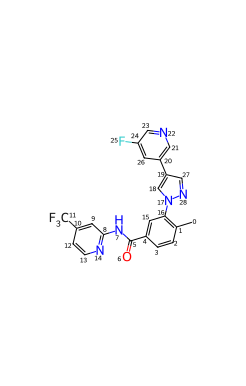 Cc1ccc(C(=O)Nc2cc(C(F)(F)F)ccn2)cc1-n1cc(-c2cncc(F)c2)cn1